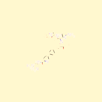 CC1(C)[C@H](NC(=O)/C(=N\OC(COc2ccc(-c3ccc(C(=O)NC(CN)CN)nc3)cc2)C(=O)O)c2csc(N)n2)C(=O)N1OS(=O)(=O)O